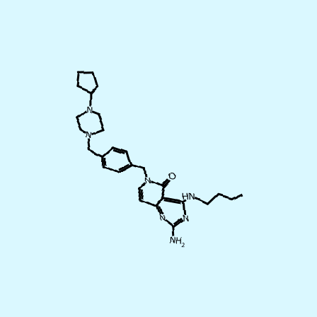 CCCCNc1nc(N)nc2ccn(Cc3ccc(CN4CCN(C5CCCC5)CC4)cc3)c(=O)c12